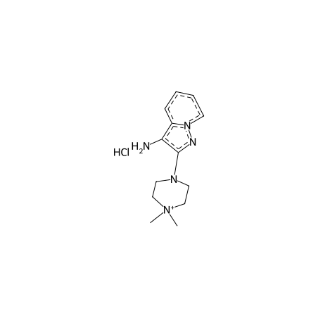 C[N+]1(C)CCN(c2nn3ccccc3c2N)CC1.Cl